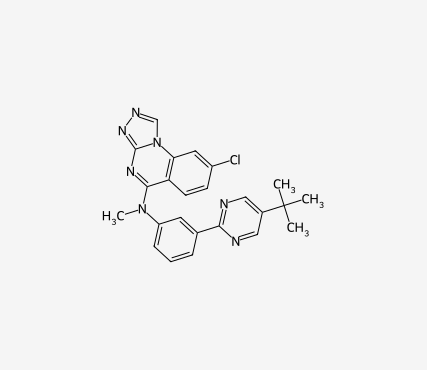 CN(c1cccc(-c2ncc(C(C)(C)C)cn2)c1)c1nc2nncn2c2cc(Cl)ccc12